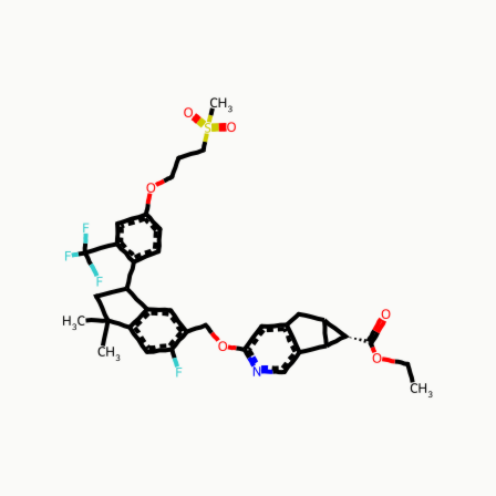 CCOC(=O)[C@H]1C2Cc3cc(OCc4cc5c(cc4F)C(C)(C)CC5c4ccc(OCCCS(C)(=O)=O)cc4C(F)(F)F)ncc3C21